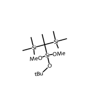 CO[Si](OC)(OC(C)(C)C)C(C)([Si](C)(C)C)[Si](C)(C)C